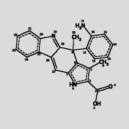 Cc1c(C(=O)O)[nH]c2c1C(C)(c1ccccc1N)C1=Nc3ccccc3C1=C2